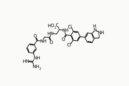 N=C(N)Nc1cccc(C(=O)NCC(=O)NC[C@H](NC(=O)c2c(Cl)cc(-c3ccc4c(c3)NNC4)cc2Cl)C(=O)O)c1